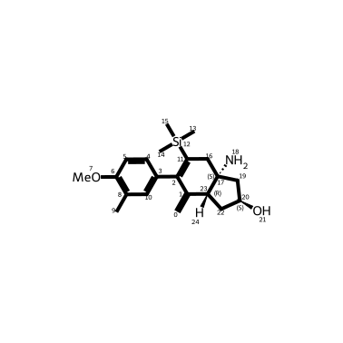 C=C1C(c2ccc(OC)c(C)c2)=C([Si](C)(C)C)C[C@@]2(N)C[C@@H](O)C[C@H]12